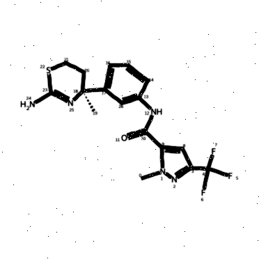 Cn1nc(C(F)(F)F)cc1C(=O)Nc1cccc([C@]2(C)CCSC(N)=N2)c1